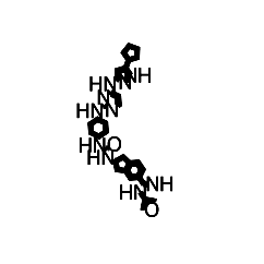 N=C(NC1COC1)c1ccc2c(c1)CC(NC(=O)N[C@H]1CC[C@H](Nc3nccc(Nc4cc(C5CCCC5)[nH]n4)n3)CC1)C2